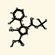 COC(=O)c1cn(C(=O)OC(C)(C)C)c(-c2ccccc2F)c1O